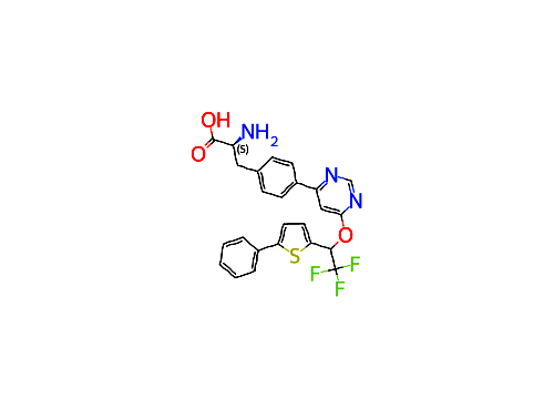 N[C@@H](Cc1ccc(-c2cc(OC(c3ccc(-c4ccccc4)s3)C(F)(F)F)ncn2)cc1)C(=O)O